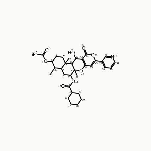 CC(C)C(=O)OC1CCC2(C)C(CC(OC(=O)C3CCCCC3)C3(C)Oc4cc(-c5cccnc5)oc(=O)c4C(O)C23)C1C